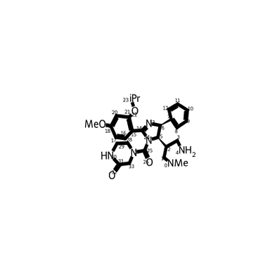 CNCC(CN)[C@@H]1[C@H](c2ccccc2)N=C(c2ccc(OC)cc2OC(C)C)N1C(=O)N1CCNC(=O)C1